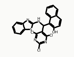 Oc1ccc2ccccc2c1C(Nc1nc2ccccc2s1)c1c(Cl)nc(Cl)nc1Cl